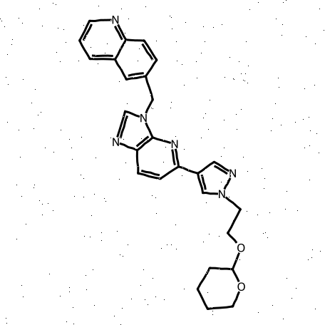 c1cnc2ccc(Cn3cnc4ccc(-c5cnn(CCOC6CCCCO6)c5)nc43)cc2c1